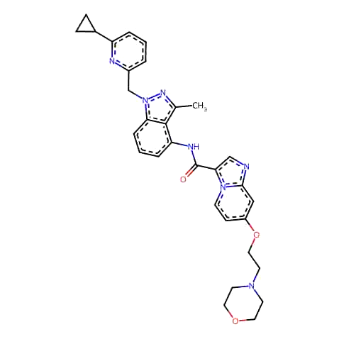 Cc1nn(Cc2cccc(C3CC3)n2)c2cccc(NC(=O)c3cnc4cc(OCCN5CCOCC5)ccn34)c12